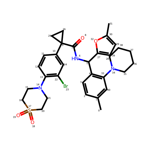 Cc1ccc(C(NC(=O)C2(c3ccc(N4CCS(=O)(=O)CC4)c(Br)c3)CC2)c2ccc(C)o2)c(N2CCCCC2)c1